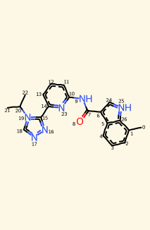 Cc1cccc2c(C(=O)Nc3cccc(-c4nncn4C(C)C)n3)c[nH]c12